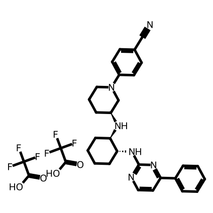 N#Cc1ccc(N2CCC[C@H](N[C@@H]3CCCC[C@H]3Nc3nccc(-c4ccccc4)n3)C2)cc1.O=C(O)C(F)(F)F.O=C(O)C(F)(F)F